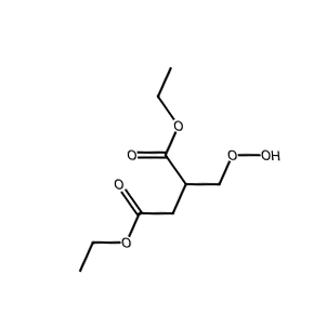 CCOC(=O)CC(COO)C(=O)OCC